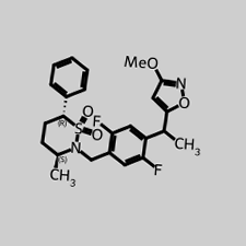 COc1cc(C(C)c2cc(F)c(CN3[C@@H](C)CC[C@H](c4ccccc4)S3(=O)=O)cc2F)on1